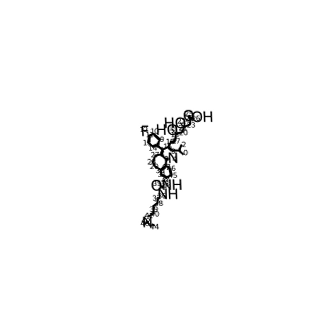 CC(C)c1nc2c(c(-c3ccc(F)cc3)c1/C=C/[C@@H](O)C[C@@H](O)CC(=O)O)CCCc1cc(NC(=O)NCCCCCN(C)C)ccc1-2